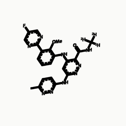 [2H]C([2H])([2H])NC(=O)c1nnc(Nc2ccc(C)nn2)cc1Nc1cccc(-c2ncc(F)cn2)c1OC